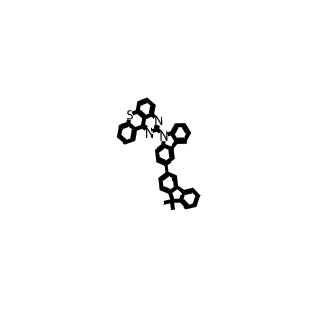 CC1(C)c2ccccc2-c2cc(-c3ccc4c(c3)c3ccccc3n4-c3nc4c5c(cccc5n3)Sc3ccccc3-4)ccc21